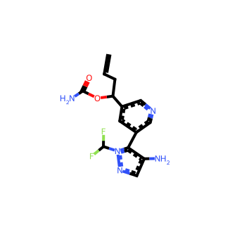 C=CCC(OC(N)=O)c1cncc(-c2c(N)cnn2C(F)F)c1